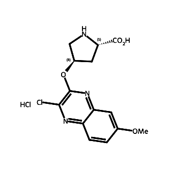 COc1ccc2nc(Cl)c(O[C@H]3CN[C@H](C(=O)O)C3)nc2c1.Cl